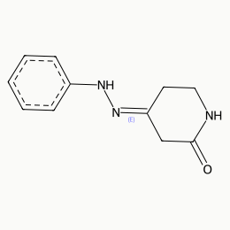 O=C1C/C(=N/Nc2ccccc2)CCN1